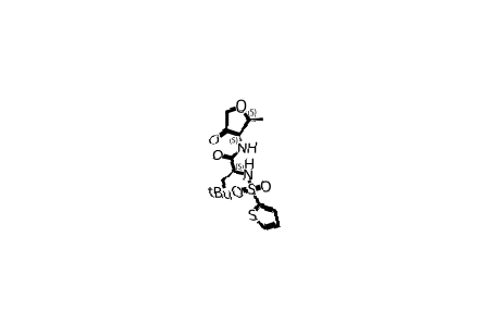 C[C@@H]1OCC(=O)[C@H]1NC(=O)[C@H](CC(C)(C)C)NS(=O)(=O)c1cccs1